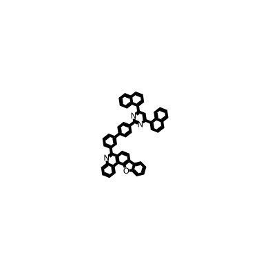 c1cc(-c2ccc(-c3nc(-c4cccc5ccccc45)cc(-c4cccc5ccccc45)n3)cc2)cc(-c2nc3ccccc3c3c2ccc2c4ccccc4oc23)c1